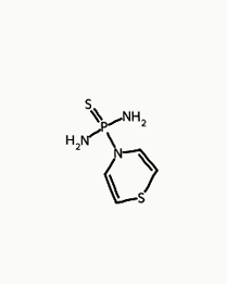 NP(N)(=S)N1C=CSC=C1